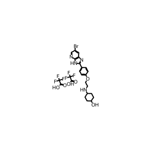 O=C(O)C(F)(F)F.O=C(O)C(F)(F)F.OC1CCC(NCCOc2ccc(-c3nc4cc(Br)cnc4[nH]3)cc2)CC1